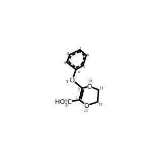 O=C(O)C1=C(Oc2ccccc2)OCCO1